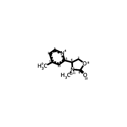 Cc1ccnc(C2COC(=O)N2C)c1